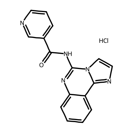 Cl.O=C(Nc1nc2ccccc2c2nccn12)c1cccnc1